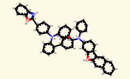 c1ccc(N(c2ccc(-c3ccccc3N(c3ccccc3)c3ccc(-c4nc5ccccc5o4)cc3)cc2)c2ccc3c(c2)oc2cc4ccccc4cc23)cc1